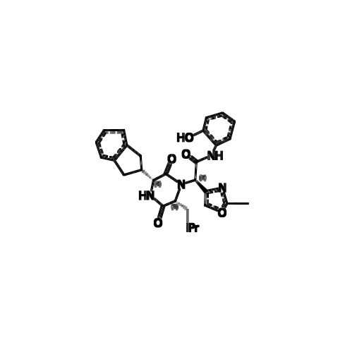 Cc1nc([C@H](C(=O)Nc2ccccc2O)N2C(=O)[C@@H](C3Cc4ccccc4C3)NC(=O)[C@H]2CC(C)C)co1